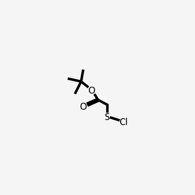 CC(C)(C)OC(=O)CSCl